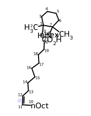 CCCCCCC1(C)CCCCC1(C)N.CCCCCCCC/C=C\CCCCCCCC(=O)O